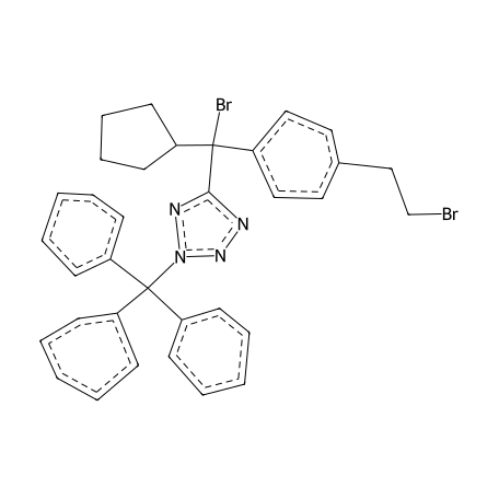 BrCCc1ccc(C(Br)(c2nnn(C(c3ccccc3)(c3ccccc3)c3ccccc3)n2)C2CCCC2)cc1